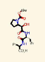 CC(C)C[C@@H](NC(=O)C(O)C1CCCN1C(=O)OC(C)(C)C)C(=O)NC(C(=O)O)C(C)C